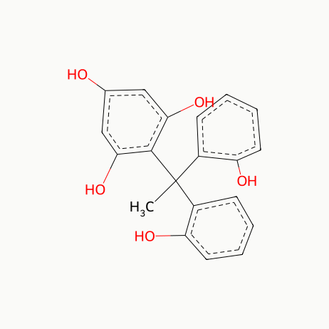 CC(c1ccccc1O)(c1ccccc1O)c1c(O)cc(O)cc1O